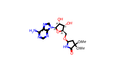 COC1(OC)CC(OC[C@H]2O[C@@H](n3cnc4c(N)ncnc43)[C@H](O)[C@@H]2O)NC1=O